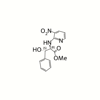 COC(=O)[C@H](Nc1ncccc1[N+](=O)[O-])[C@@H](O)c1ccccc1